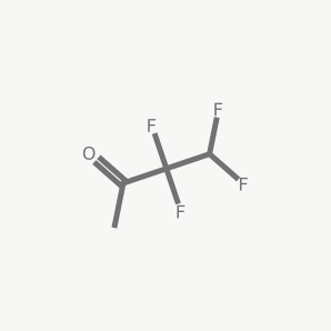 CC(=O)C(F)(F)C(F)F